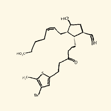 B=C[C@@H]1CC(O)[C@H](C/C=C\CCCC(=O)O)[C@H]1CCC(=O)CCc1cc(Br)c(C)s1